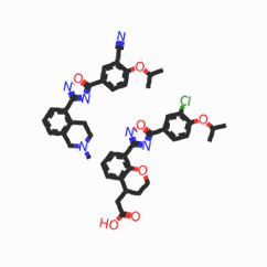 CC(C)Oc1ccc(-c2nc(-c3cccc4c3CCN(C)C4)no2)cc1C#N.CC(C)Oc1ccc(-c2nc(-c3cccc4c3OCCC4CC(=O)O)no2)cc1Cl